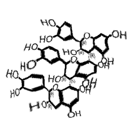 Oc1cc(O)c2c(c1)O[C@H](c1ccc(O)c(O)c1)[C@H](O)[C@H]2c1c(O)cc(O)c2c1OC(c1ccc(O)c(O)c1)[C@H](O)[C@H]2c1c(O)cc(O)c2c1O[C@H](c1ccc(O)c(O)c1)[C@H](O)C2